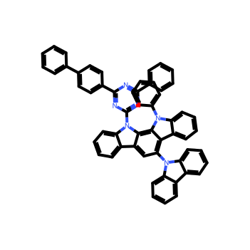 c1ccc(-c2ccc(-c3nc(-c4ccccc4)nc(-n4c5ccccc5c5cc(-n6c7ccccc7c7ccccc76)c6c7ccccc7n(-c7ccccc7)c6c54)n3)cc2)cc1